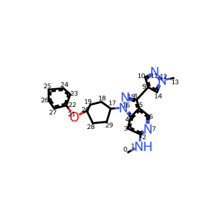 CNc1cc2c(cn1)c(-c1cnn(C)c1)nn2C1CCC(Oc2ccccc2)CC1